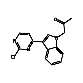 CC(=O)Cn1cc(-c2ccnc(Cl)n2)c2ccccc21